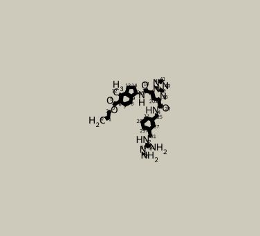 C=CCOC(=O)c1ccc2c(c1C)CC[C@@H]2NC(=O)c1cc(C(=O)NCc2cccc(CN/C(N)=N/N)c2)nc2ncnn12